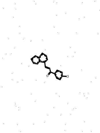 O=C(/C=C/c1cccc2ccccc12)c1ccc(Cl)cc1